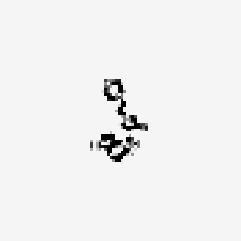 CC[C@@H]1CN(CCN2CCOCC2)C[C@@H]1c1nnc2cnc3[nH]ccc3n12